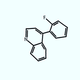 Fc1ccccc1-c1ccnc2ccccc12